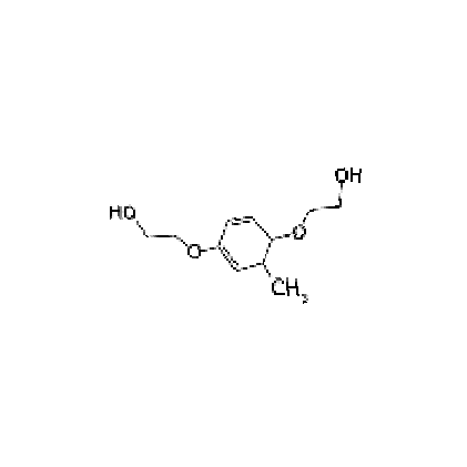 CC1C=C(OCCO)C=CC1OCCO